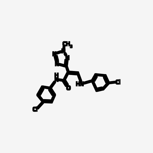 Cn1nnc(/C(=C/Nc2ccc(Cl)cc2)C(=O)Nc2ccc(Cl)cc2)n1